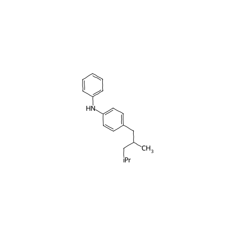 CC(C)CC(C)Cc1ccc(Nc2ccccc2)cc1